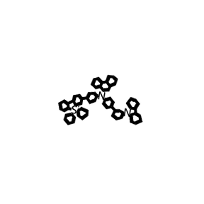 c1ccc([Si]2(c3ccccc3)c3ccccc3-c3ccc(-c4ccc(N(c5ccc(-c6cccc(-n7c8ccccc8c8ccccc87)c6)cc5)c5cc6ccccc6c6ccccc56)cc4)cc32)cc1